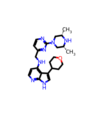 C[C@@H]1CN(c2nccc(CNc3ccnc4[nH]cc(C5CCOCC5)c34)n2)C[C@H](C)N1